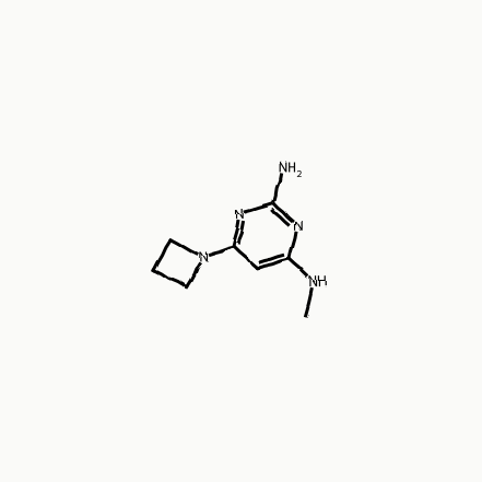 CNc1cc(N2CCC2)nc(N)n1